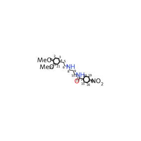 COc1ccc(CCNCCCNC(=O)c2ccc([N+](=O)[O-])cc2)cc1OC